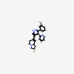 FC1CC2C=C(c3c[nH]c(-c4cccc(Cl)c4)c3-c3ccccn3)CCN2C1